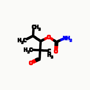 CC(C)C(OC(N)=O)C(C)(C)C=O